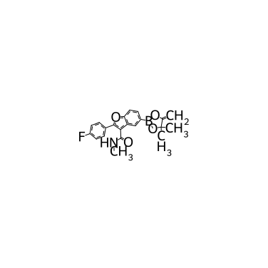 C=C1OB(c2ccc3oc(-c4ccc(F)cc4)c(C(=O)NC)c3c2)OC1(C)C